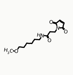 COCCCCCCNC(=O)CCN1C(=O)C=CC1=O